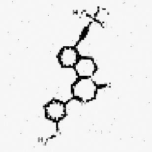 COc1cccc(C2=NCC(=O)N3CCc4c(C#C[Si](C)(C)C)cccc4C3=C2)c1